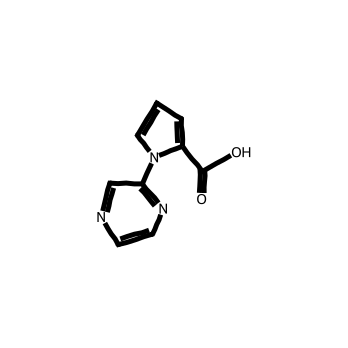 O=C(O)c1cccn1-c1cnccn1